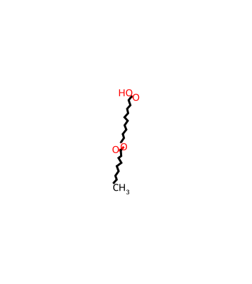 CCCCCCCCCC(=O)OCCCCCCCCCCCC(=O)O